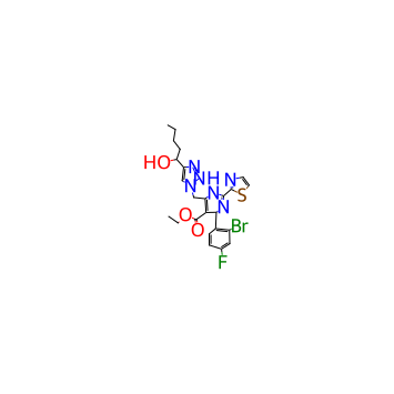 CCCCC(O)c1cn(CC2=C(C(=O)OCC)C(c3ccc(F)cc3Br)N=C(c3nccs3)N2)nn1